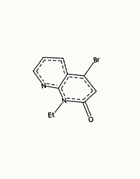 CCn1c(=O)cc(Br)c2cccnc21